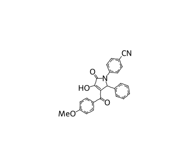 COc1ccc(C(=O)C2=C(O)C(=O)N(c3ccc(C#N)cc3)C2c2ccccc2)cc1